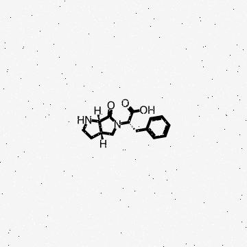 O=C(O)[C@H](Cc1ccccc1)N1C[C@@H]2CCN[C@@H]2C1=O